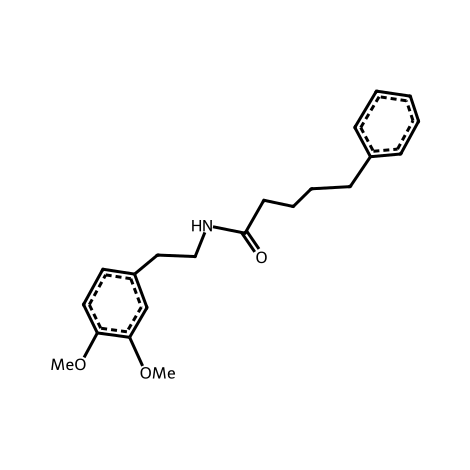 COc1ccc(CCNC(=O)CCCCc2ccccc2)cc1OC